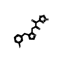 O=C(Cc1occc1Cc1cccc(F)c1)C(=O)c1nn[nH]n1